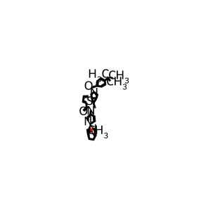 CN1C2CCC1CN(c1ccc(N(CC3C4CN(C(=O)c5ccc(C(C)(C)C)cc5)CC43)C(=O)c3cccs3)cn1)C2